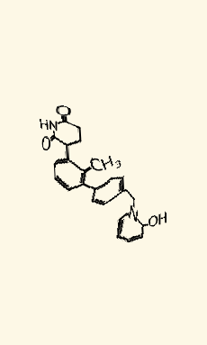 Cc1c(-c2ccc(CN3C=CC=CC3O)cc2)cccc1C1CCC(=O)NC1=O